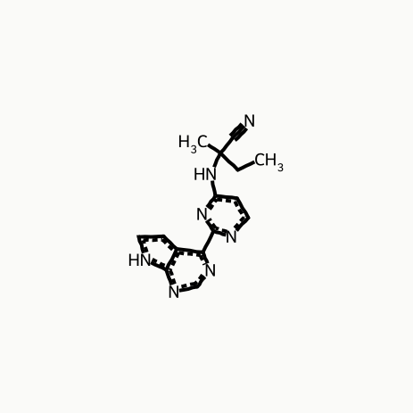 CCC(C)(C#N)Nc1ccnc(-c2ncnc3[nH]ccc23)n1